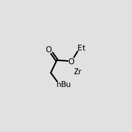 CCCCCC(=O)OCC.[Zr]